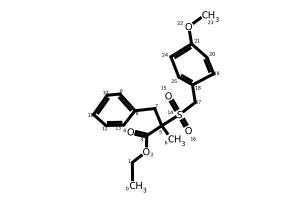 CCOC(=O)C(C)(Cc1ccccc1)S(=O)(=O)Cc1ccc(OC)cc1